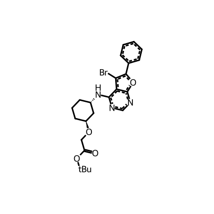 CC(C)(C)OC(=O)CO[C@H]1CCC[C@H](Nc2ncnc3oc(-c4ccccc4)c(Br)c23)C1